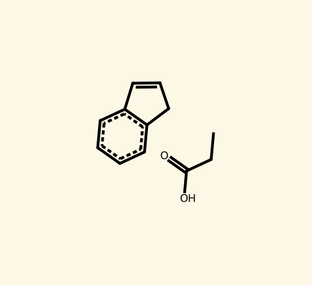 C1=Cc2ccccc2C1.CCC(=O)O